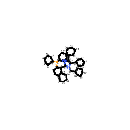 C1=c2ccc(P(c3ccccc3)c3ccccc3)c(-c3nc(-c4ccccc4)c(-c4ccccc4)n3Cc3ccccc3)c2=CCC1